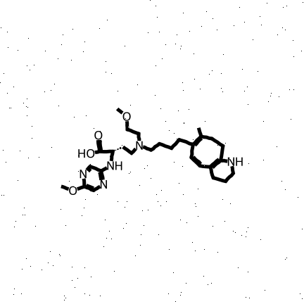 COCCN(CCCCC1=C(\C)CCC2=C(/C=C\1)CCCN2)CC[C@H](Nc1cnc(OC)cn1)C(=O)O